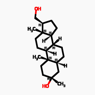 C[C@@]1(O)CC[C@@]2(C)[C@@H](CC[C@@H]3[C@@H]2CC[C@]2(C)[C@@H](CO)CC[C@@H]32)C1